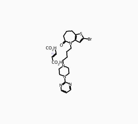 O=C(O)/C=C/C(=O)O.O=C1CCCc2sc(Br)cc2N1CCCCN1CCN(c2ncccn2)CC1